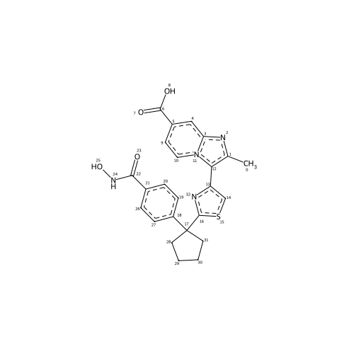 Cc1nc2cc(C(=O)O)ccn2c1-c1csc(C2(c3ccc(C(=O)NO)cc3)CCCC2)n1